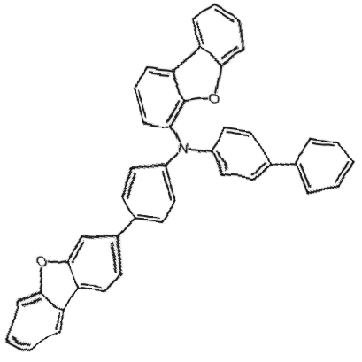 c1ccc(-c2ccc(N(c3ccc(-c4ccc5c(c4)oc4ccccc45)cc3)c3cccc4c3oc3ccccc34)cc2)cc1